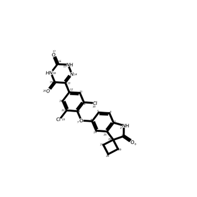 O=C1Nc2ccc(Oc3c(Cl)cc(-c4n[nH]c(=O)[nH]c4=O)cc3Cl)cc2C12CCC2